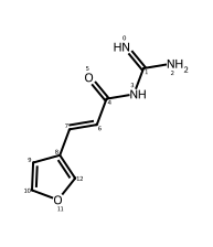 N=C(N)NC(=O)/C=C/c1ccoc1